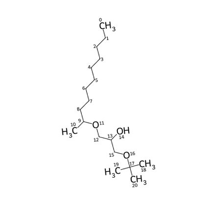 CCCCCCCCCC(C)OCC(O)COC(C)(C)C